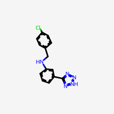 Clc1ccc(CNc2cccc(-c3nn[nH]n3)c2)cc1